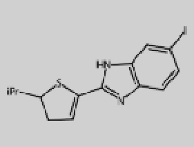 CC(C)C1CC=C(c2nc3ccc(I)cc3[nH]2)S1